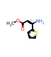 COC(=O)/C=C(/N)c1cccs1